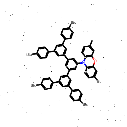 CCc1ccc2c(c1)Oc1cc(C)ccc1N2c1cc(-c2cc(-c3ccc(C(C)(C)C)cc3)cc(-c3ccc(C(C)(C)C)cc3)c2)cc(-c2cc(-c3ccc(C(C)(C)C)cc3)cc(-c3ccc(C(C)(C)C)cc3)c2)c1